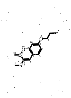 CCCOc1ccc(C=C(SC)[S+](C)[O-])cc1